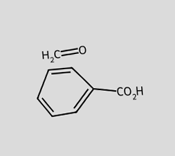 C=O.O=C(O)c1ccccc1